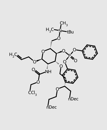 C=CCO[C@H]1O[C@H](CO[Si](C)(C)C(C)(C)C)[C@@H](OP(=O)(Oc2ccccc2)Oc2ccccc2)[C@H](OCC[C@H](CCCCCCCCCCC)OCCCCCCCCCCCC)[C@@H]1NC(=O)OCC(Cl)(Cl)Cl